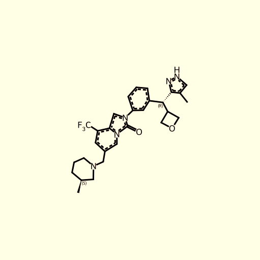 Cc1c[nH]nc1[C@@H](c1cccc(-n2cc3c(C(F)(F)F)cc(CN4CCC[C@H](C)C4)cn3c2=O)c1)C1COC1